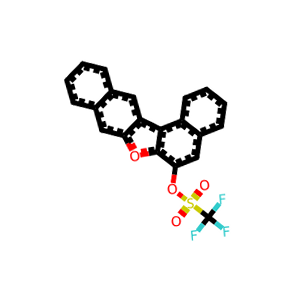 O=S(=O)(Oc1cc2ccccc2c2c1oc1cc3ccccc3cc12)C(F)(F)F